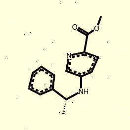 COC(=O)c1ccc(N[C@H](C)c2ccccc2)cn1